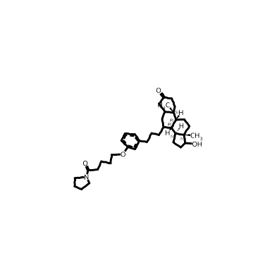 C[C@]12CCC(=O)CC1CC(CCCc1cccc(OCCCCC(=O)N3CCCC3)c1)[C@@H]1[C@H]2CC[C@]2(C)C(O)CC[C@@H]12